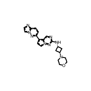 c1cn2nc(-c3ccn4nc(N[C@H]5C[C@H](N6CCOCC6)C5)ncc34)ccc2n1